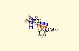 COc1ccccc1S(=O)(=O)Nc1ccc2c(c1)[nH]c(=O)n2C